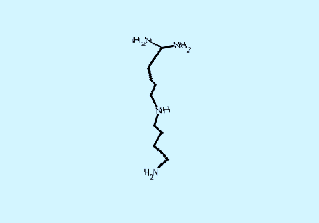 NCCCCNCCCC(N)N